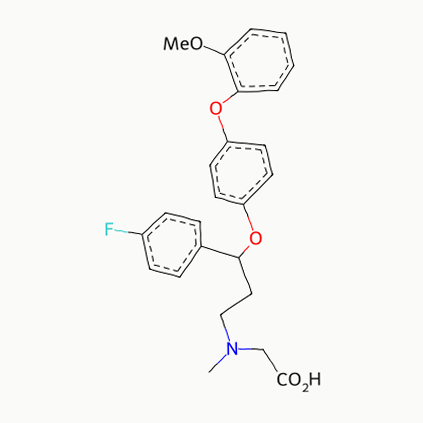 COc1ccccc1Oc1ccc(OC(CCN(C)CC(=O)O)c2ccc(F)cc2)cc1